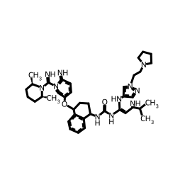 CC(C)C(=N)/C=C(/NC(=O)NC1CCC(Oc2ccc(=N)n(C(=N)N3[C@H](C)CCC[C@@H]3C)c2)c2ccccc21)Nc1cnn(CCN2CCCC2)c1